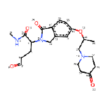 CNC(=O)C(CCC=O)N1Cc2cc(OC(C)CN3CCC(=O)CC3)ccc2C1=O